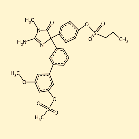 CCCS(=O)(=O)Oc1ccc(C2(c3cccc(-c4cc(OC)cc(OS(C)(=O)=O)c4)c3)N=C(N)N(C)C2=O)cc1